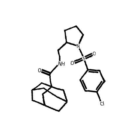 O=C(NCC1CCCN1S(=O)(=O)c1ccc(Cl)cc1)C12CC3CC(CC(C3)C1)C2